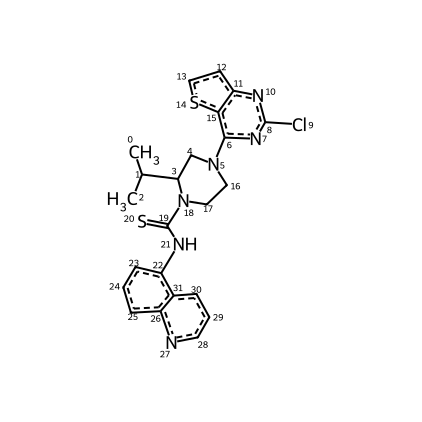 CC(C)C1CN(c2nc(Cl)nc3ccsc23)CCN1C(=S)Nc1cccc2ncccc12